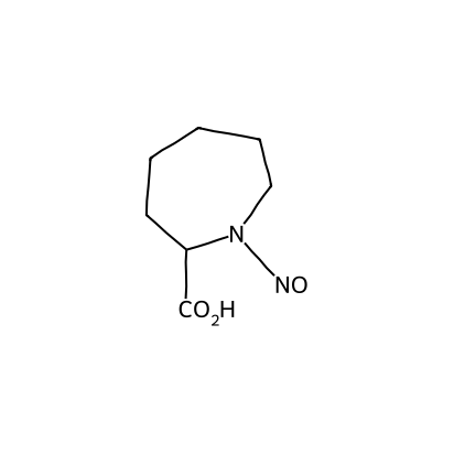 O=NN1CCCCCC1C(=O)O